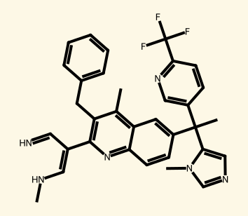 CN/C=C(\C=N)c1nc2ccc(C(C)(c3ccc(C(F)(F)F)nc3)c3cncn3C)cc2c(C)c1Cc1ccccc1